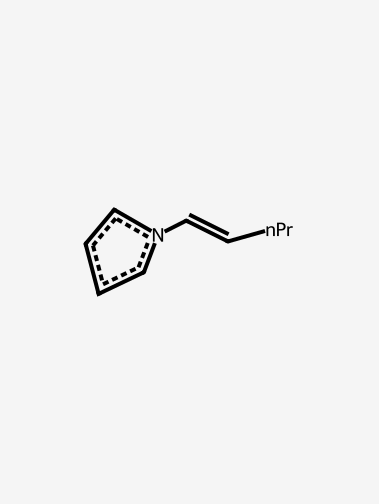 CCCC=Cn1cccc1